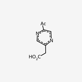 CC(=O)c1cnc(CC(=O)O)cn1